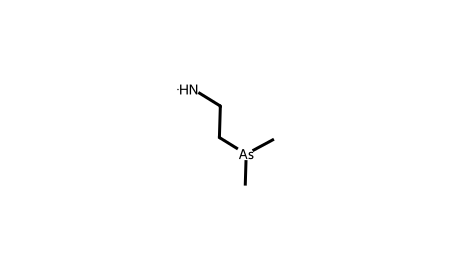 C[As](C)CC[NH]